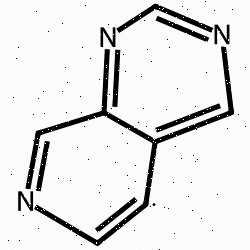 [c]1cncc2ncncc12